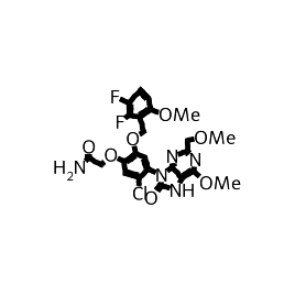 COCc1nc(OC)c2[nH]c(=O)n(-c3cc(OCc4c(OC)ccc(F)c4F)c(OCC(N)=O)cc3Cl)c2n1